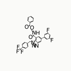 O=C(OCNC(=O)c1cc(-c2cc(F)cc(F)c2)cc2nnn(Cc3ccc(C(F)(F)F)cc3)c12)c1ccccc1